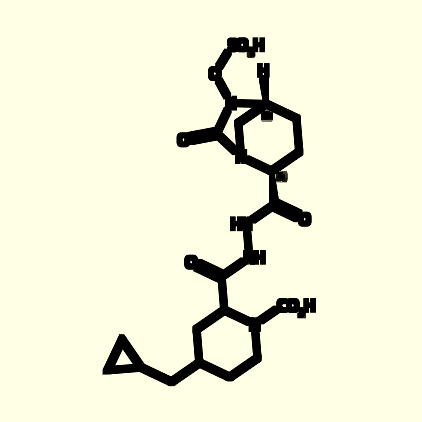 O=C(NNC(=O)[C@@H]1CC[C@@H]2CN1C(=O)N2OS(=O)(=O)O)C1CC(CC2CC2)CCN1C(=O)O